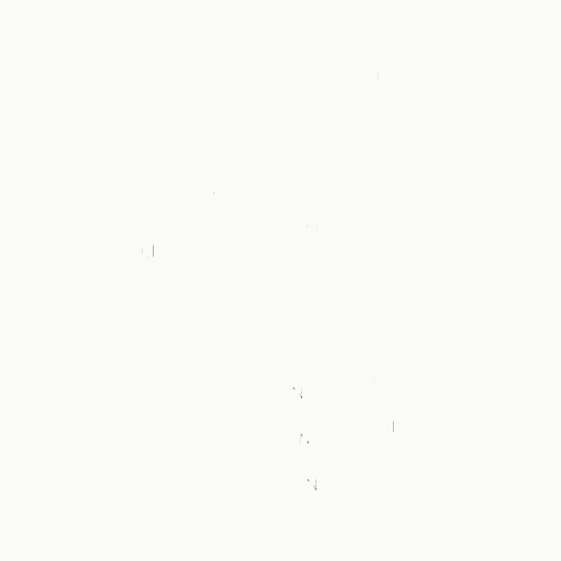 [N-]=[N+]=NC(=Cc1ccc(Cl)cc1Oc1cc(Cl)ccc1Cl)C(=O)O